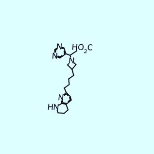 O=C(O)CC(c1cncnc1)N1CC(CCCCc2ccc3c(n2)NCCC3)C1